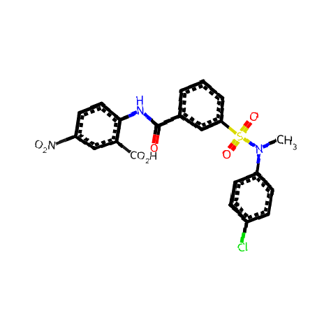 CN(c1ccc(Cl)cc1)S(=O)(=O)c1cccc(C(=O)Nc2ccc([N+](=O)[O-])cc2C(=O)O)c1